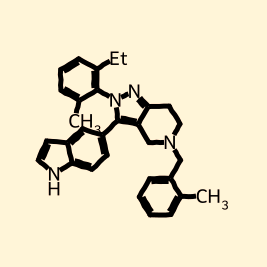 CCc1cccc(C)c1-n1nc2c(c1-c1ccc3[nH]ccc3c1)CN(Cc1ccccc1C)CC2